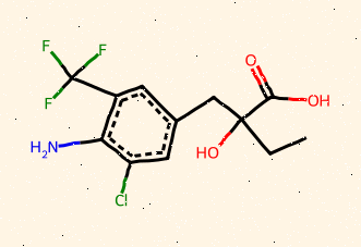 CCC(O)(Cc1cc(Cl)c(N)c(C(F)(F)F)c1)C(=O)O